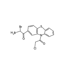 BC(Br)C(=O)c1ccc2c(c1)N(C(=O)CCl)c1ccccc1S2